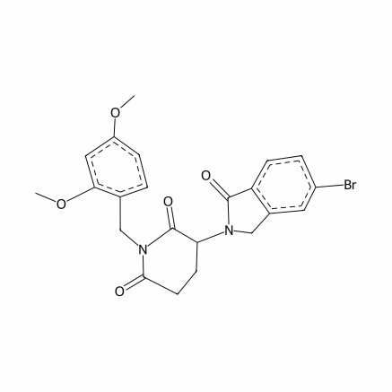 COc1ccc(CN2C(=O)CCC(N3Cc4cc(Br)ccc4C3=O)C2=O)c(OC)c1